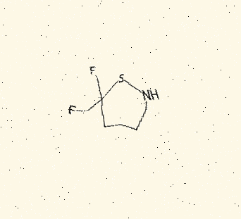 FC1(F)CCNS1